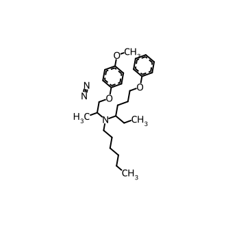 CCCCCCN(C(C)COc1ccc(OC)cc1)C(CC)CCCOc1ccccc1.N#N